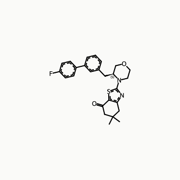 CC1(C)CC(=O)c2sc(N3CCOC[C@@H]3Cc3cccc(-c4ccc(F)cc4)c3)nc2C1